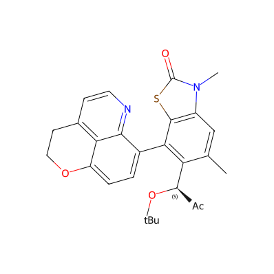 CC(=O)[C@@H](OC(C)(C)C)c1c(C)cc2c(sc(=O)n2C)c1-c1ccc2c3c(ccnc13)CCO2